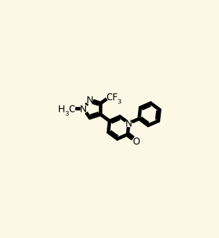 Cn1cc(-c2ccc(=O)n(-c3ccccc3)c2)c(C(F)(F)F)n1